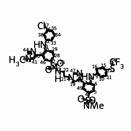 CNS(=O)(=O)c1ccc(Nc2ccc(SC(F)(F)F)cc2)c(-c2cn(CCNS(=O)(=O)c3ccc(Nc4cccc(Cl)c4)c(-c4cn(C)cn4)c3)cn2)c1